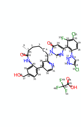 C[C@@H]1CCC[C@H](n2cnc(-c3c(-n4cc(Cl)nn4)ccc(Cl)c3F)cc2=O)c2cc(ccn2)-c2ccc(CO)cc2NC1=O.O=C(O)C(F)(F)F